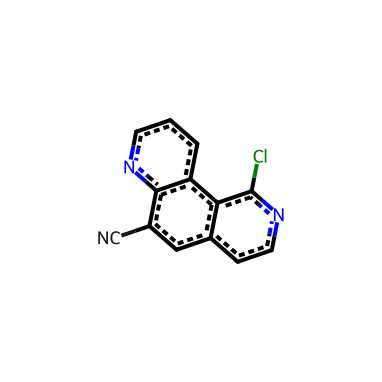 N#Cc1cc2ccnc(Cl)c2c2cccnc12